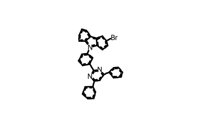 Brc1ccc2c(c1)c1ccccc1n2-c1cccc(-c2nc(-c3ccccc3)cc(-c3ccccc3)n2)c1